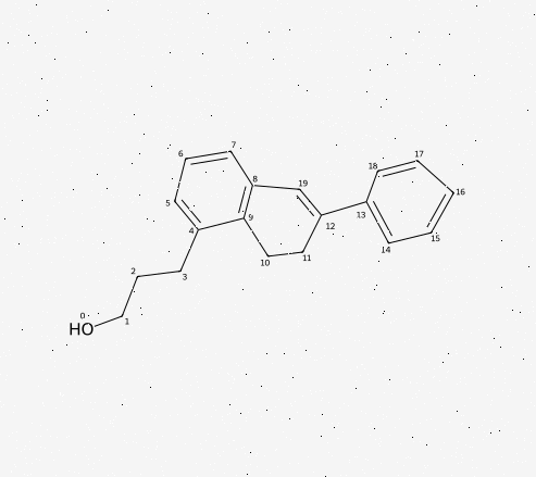 OCCCc1cccc2c1CCC(c1ccccc1)=C2